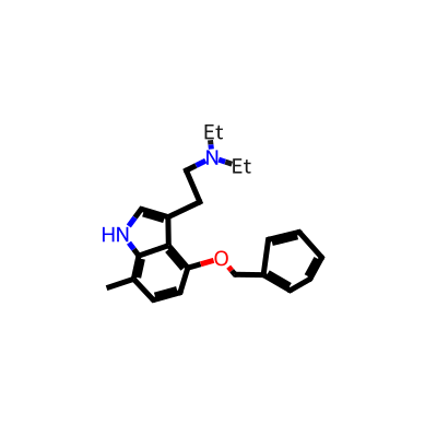 CCN(CC)CCc1c[nH]c2c(C)ccc(OCc3ccccc3)c12